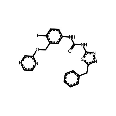 O=C(Nc1ccc(F)c(COc2cnccn2)c1)Nc1nnc(Cc2ccccc2)s1